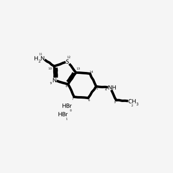 Br.Br.CCNC1CCc2nc(N)sc2C1